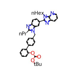 CCCCCCn1c(-c2ccc3nc(CCC)n(Cc4ccc(-c5ccccc5OC(=O)OC(C)(C)C)cc4)c3c2)nc2cccnc21